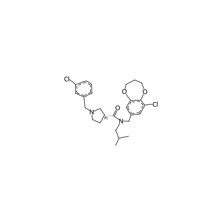 CC(C)CN(Cc1cc(Cl)c2c(c1)OCCCO2)C(=O)[C@@H]1CCN(Cc2cccc(Cl)c2)C1